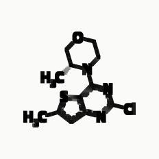 Cc1cc2nc(Cl)nc(N3CCOC[C@H]3C)c2s1